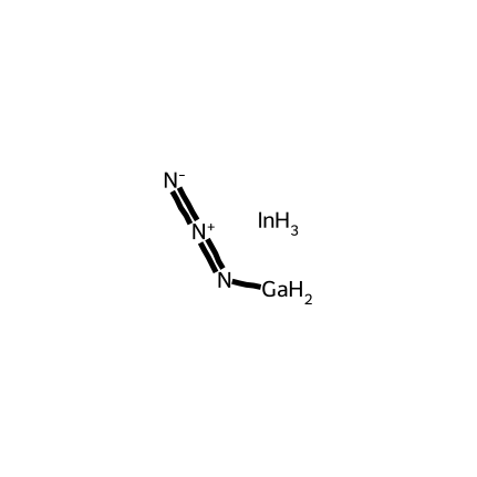 [InH3].[N-]=[N+]=[N][GaH2]